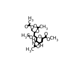 COC(=O)C1=C[C@H]2OC(C)=N[C@H]2[C@H]([C@H](OC)[C@@H](COC(C)=O)OC(C)=O)O1